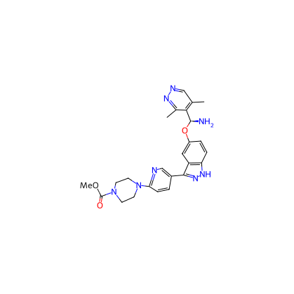 COC(=O)N1CCN(c2ccc(-c3n[nH]c4ccc(O[C@H](N)c5c(C)cnnc5C)cc34)cn2)CC1